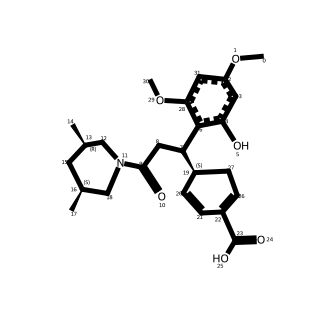 COc1cc(O)c(C(CC(=O)N2C[C@H](C)C[C@H](C)C2)[C@@H]2C=CC(C(=O)O)=CC2)c(OC)c1